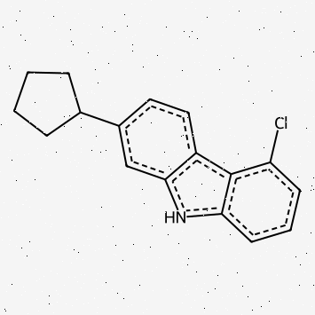 Clc1cccc2[nH]c3cc(C4CCCC4)ccc3c12